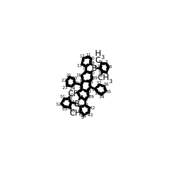 Cc1cccc(C)c1B1c2ccccc2-c2cc3c(-c4ccccc4)c4cc5c(cc4c(-c4ccccc4)c3cc21)-c1ccccc1B5c1c(C)cccc1C